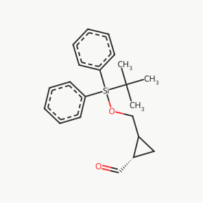 CC(C)(C)[Si](OCC1C[C@@H]1C=O)(c1ccccc1)c1ccccc1